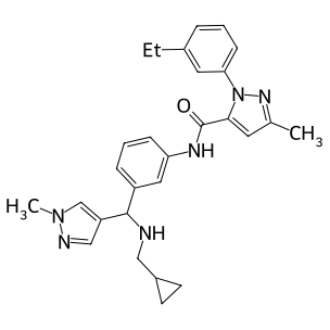 CCc1cccc(-n2nc(C)cc2C(=O)Nc2cccc(C(NCC3CC3)c3cnn(C)c3)c2)c1